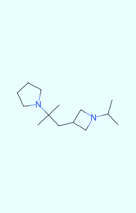 CC(C)N1CC(CC(C)(C)N2CCCC2)C1